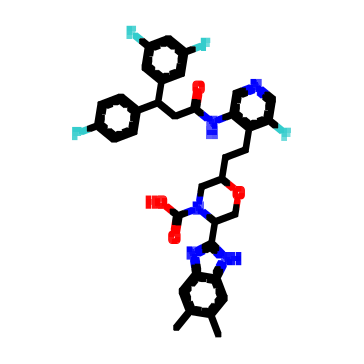 Cc1cc2nc(C3COC(CCc4c(F)cncc4NC(=O)CC(c4ccc(F)cc4)c4cc(F)cc(F)c4)CN3C(=O)O)[nH]c2cc1C